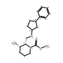 COC(=O)N1CCC[C@H](N)[C@@H]1COC1CCC(c2ccccc2)C1